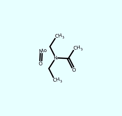 CCN(CC)C(C)=O.[O]=[Mo]